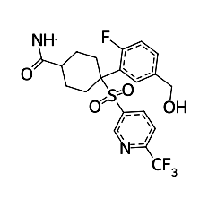 [NH]C(=O)C1CCC(c2cc(CO)ccc2F)(S(=O)(=O)c2ccc(C(F)(F)F)nc2)CC1